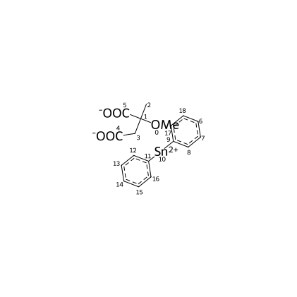 COC(C)(CC(=O)[O-])C(=O)[O-].c1cc[c]([Sn+2][c]2ccccc2)cc1